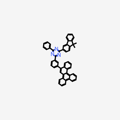 CC1(C)c2ccccc2-c2cc(-c3nc(-c4ccccc4)nc(-c4cccc(-c5cc6c7ccccc7c7ccccc7c6c6ccccc56)c4)n3)ccc21